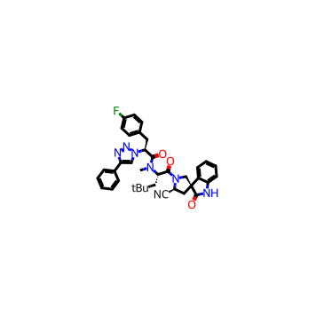 CN(C(=O)[C@H](Cc1ccc(F)cc1)n1cc(-c2ccccc2)nn1)[C@@H](CC(C)(C)C)C(=O)N1C[C@]2(C[C@H]1C#N)C(=O)Nc1ccccc12